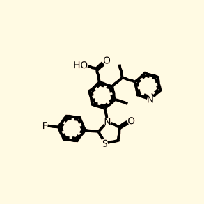 Cc1c(N2C(=O)CSC2c2ccc(F)cc2)ccc(C(=O)O)c1C(C)c1cccnc1